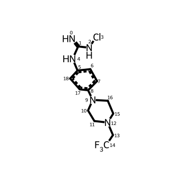 N=C(NCl)Nc1ccc(N2CCN(CC(F)(F)F)CC2)cc1